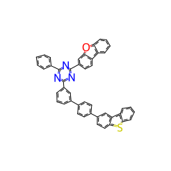 c1ccc(-c2nc(-c3cccc(-c4ccc(-c5ccc6sc7ccccc7c6c5)cc4)c3)nc(-c3ccc4c(c3)oc3ccccc34)n2)cc1